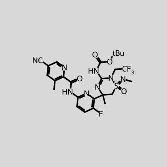 CN=S1(=O)CC(C)(c2nc(NC(=O)c3ncc(C#N)cc3C)ccc2F)N=C(NC(=O)OC(C)(C)C)N1CC(F)(F)F